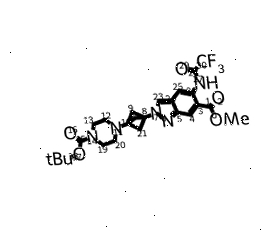 COC(=O)c1cc2nn(C34CC(N5CCN(C(=O)OC(C)(C)C)CC5)(C3)C4)cc2cc1NC(=O)C(F)(F)F